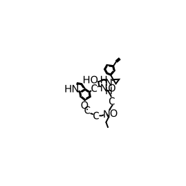 C#Cc1cccc(C2(NC[C@@H](O)[C@@H]3Cc4cc(cc5[nH]ccc45)OCCCCN(CCC)C(=O)CCCC(=O)N3)CC2)c1